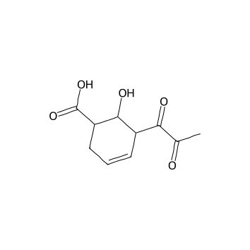 CC(=O)C(=O)C1C=CCC(C(=O)O)C1O